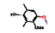 CCCc1c(C)cc(OI)c(OC)c1C